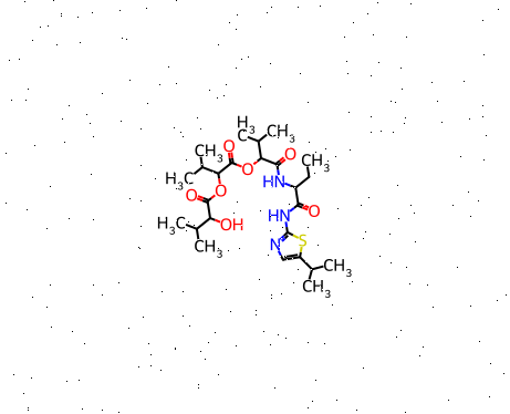 CCC(NC(=O)C(OC(=O)C(OC(=O)C(O)C(C)C)C(C)C)C(C)C)C(=O)Nc1ncc(C(C)C)s1